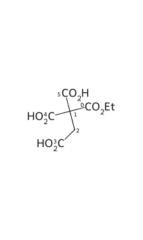 CCOC(=O)C(CC(=O)O)(C(=O)O)C(=O)O